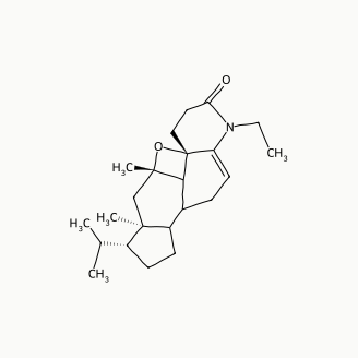 CCN1C(=O)CC[C@@]23O[C@@]4(C)C[C@@]5(C)C(CC[C@@H]5C(C)C)C(CC=C12)C43